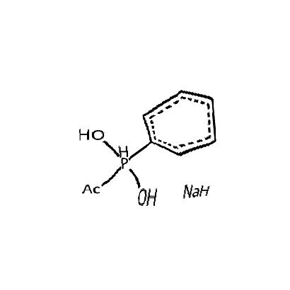 CC(=O)[PH](O)(O)c1ccccc1.[NaH]